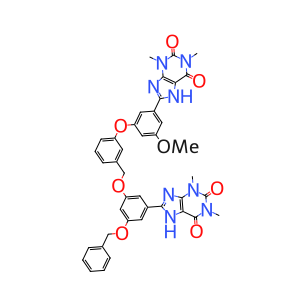 COc1cc(Oc2cccc(COc3cc(OCc4ccccc4)cc(-c4nc5c([nH]4)c(=O)n(C)c(=O)n5C)c3)c2)cc(-c2nc3c([nH]2)c(=O)n(C)c(=O)n3C)c1